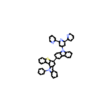 c1ccc(-n2c3ccccc3c3cc(-c4ccc5c(c4)c4ccccc4n5-c4cc(-c5ccccn5)nc(-c5ccccn5)c4)c4sc5ccccc5c4c32)cc1